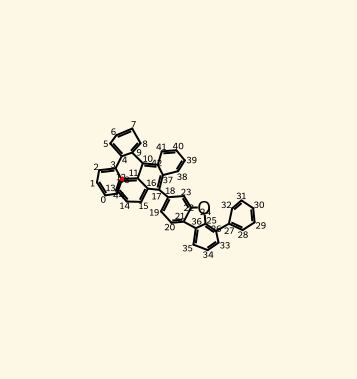 c1ccc(-c2ccccc2-c2c3ccccc3c(-c3ccc4c(c3)oc3c(-c5ccccc5)cccc34)c3ccccc23)cc1